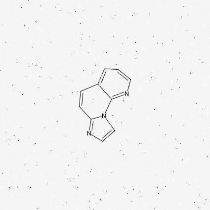 c1cnc2c(c1)ccc1nccn12